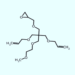 C=CCOCC(COCC=C)(COCCOC)COCC1CO1